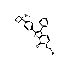 NC1(c2ccc(-c3oc4c(=O)n(CCF)ccc4c3-c3ccccc3)cc2)CCC1